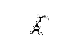 N#Cc1nc(OCC(N)=O)sc1Cl